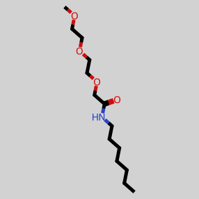 CCCCCCCNC(=O)COCCOCCOC